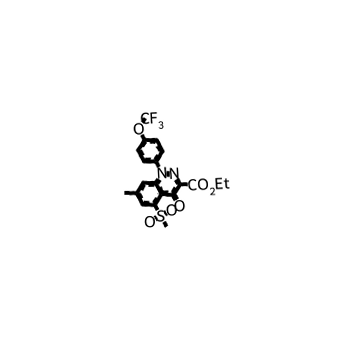 CCOC(=O)c1nn(-c2ccc(OC(F)(F)F)cc2)c2cc(C)cc(S(C)(=O)=O)c2c1=O